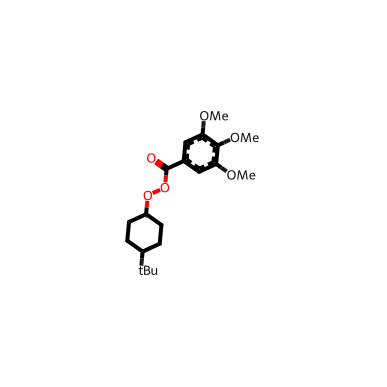 COc1cc(C(=O)OO[C]2CCC(C(C)(C)C)CC2)cc(OC)c1OC